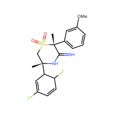 COc1cccc([C@]2(C)C(=N)N[C@](C)(C3C=C(F)C=CC3F)CS2(=O)=O)c1